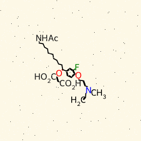 C=CCN(C)CC=CCOc1ccc(C(=O)CCCCCCCCCCNC(C)=O)cc1F.O=C(O)C=CC(=O)O